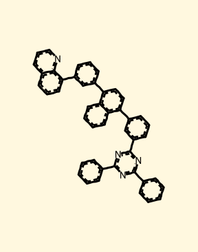 c1ccc(-c2nc(-c3ccccc3)nc(-c3cccc(-c4ccc(-c5cccc(-c6cccc7cccnc67)c5)c5ccccc45)c3)n2)cc1